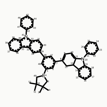 CC1(C)CB(c2cc(C3=CC=C4C(C3)c3ccccc3N4c3ccccc3)cc(-c3ccc4c(c3)c3ccccc3n4-c3ccccc3)c2)CC1(C)C